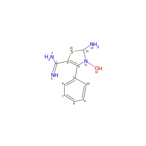 N=C(N)C1=C(c2ccccc2)N(O)C(N)S1